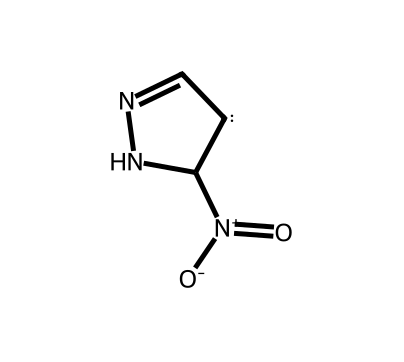 O=[N+]([O-])C1[C]C=NN1